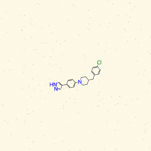 Clc1ccc(CC2CCN(c3ccc(-c4cn[nH]c4)cc3)CC2)cc1